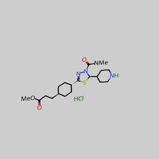 CNC(=O)N1N=C([C@H]2CC[C@H](CCC(=O)OC)CC2)SC1C1CCNCC1.Cl